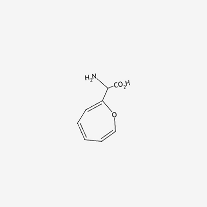 NC(C(=O)O)C1=CC=CC=CO1